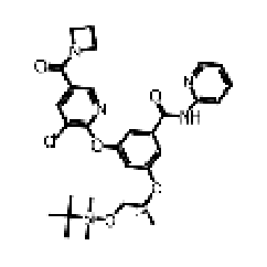 C[C@@H](CO[Si](C)(C)C(C)(C)C)Oc1cc(Oc2ncc(C(=O)N3CCC3)cc2Cl)cc(C(=O)Nc2ccccn2)c1